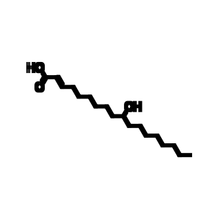 CCCCCCCCC(O)CCCCCC/C=C/C(=O)O